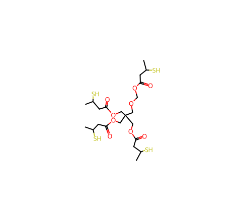 CC(S)CC(=O)OCOCC(COC(=O)CC(C)S)(COC(=O)CC(C)S)COC(=O)CC(C)S